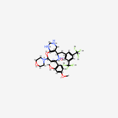 COc1ccc(/C2=C/C(N3CCOCC3)OC3=C(CNCN3)C(Cc3cc(C(F)(F)F)cc(C(F)(F)F)c3)[NH+]2[O-])c(OC)c1